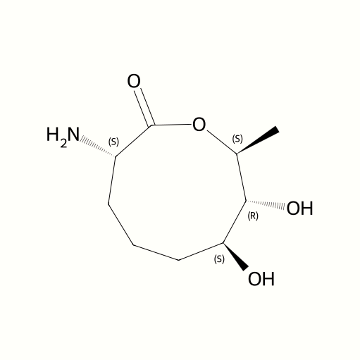 C[C@@H]1OC(=O)[C@@H](N)CCC[C@H](O)[C@H]1O